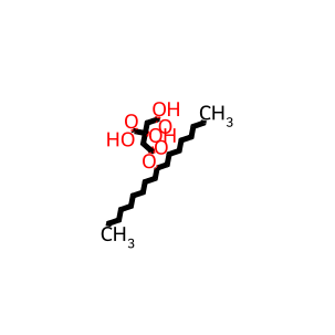 CCCCCCCCCC(CCCCCCCC)OC(=O)CC(O)(CC(=O)O)C(=O)O